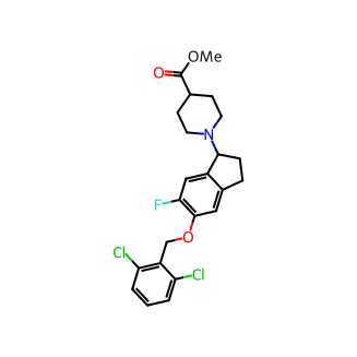 COC(=O)C1CCN(C2CCc3cc(OCc4c(Cl)cccc4Cl)c(F)cc32)CC1